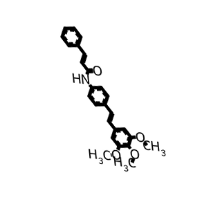 COc1cc(C=Cc2ccc(NC(=O)/C=C/c3ccccc3)cc2)cc(OC)c1OC